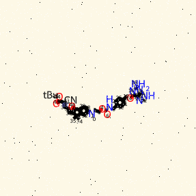 CN(CCOC(=O)NCc1ccc(COc2nc(N)nc3[nH]cnc23)cc1)c1ccc2c(c1)C(C)(C)c1cc(/C=C(\C#N)C(=O)OC(C)(C)C)oc1-2